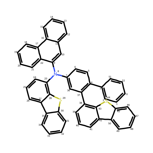 c1ccc(-c2ccc(N(c3cc4ccccc4c4ccccc34)c3cccc4c3sc3ccccc34)cc2-c2cccc3c2sc2ccccc23)cc1